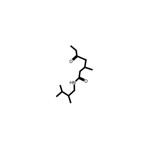 CCC(=O)CC(C)CC(=O)NCC(C)C(C)C